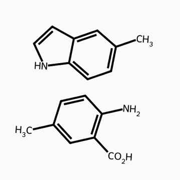 Cc1ccc(N)c(C(=O)O)c1.Cc1ccc2[nH]ccc2c1